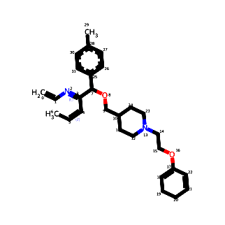 C=C/N=C(\C=C/C)C(OCC1CCN(CCOC2=CCCC=C2)CC1)c1ccc(C)cc1